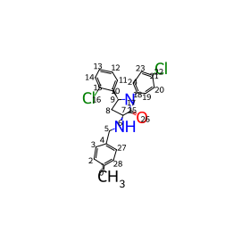 Cc1ccc(CN[C@H]2C[C@@H](c3ccccc3Cl)N(c3ccc(Cl)cc3)C2=O)cc1